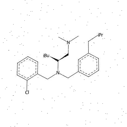 CC[C@H](C)[C@@H](CN(C)C)N(Cc1cccc(CC(C)C)c1)Cc1ccccc1Cl